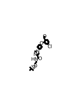 CC(C)(C)[Si](C)(C)OCCNC(=O)c1cn(-c2ccc(Oc3cc(Cl)ccc3C=O)cc2)cn1